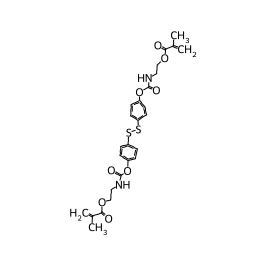 C=C(C)C(=O)OCCNC(=O)Oc1ccc(SSc2ccc(OC(=O)NCCOC(=O)C(=C)C)cc2)cc1